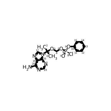 CC(C)(OCO[P@](=O)(Cl)Oc1ccccc1)n1cnc2c(N)ncnc21